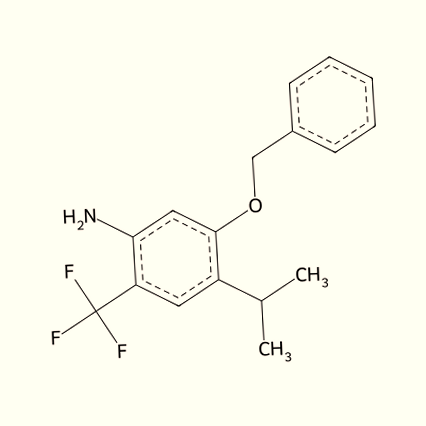 CC(C)c1cc(C(F)(F)F)c(N)cc1OCc1ccccc1